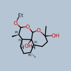 CCOC1OC2OC(C)(O)CC[C@H]3[C@H](C)CC[C@@H]([C@H]1C)C23O